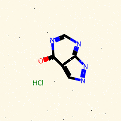 Cl.O=C1N=CN=C2N=NC=C12